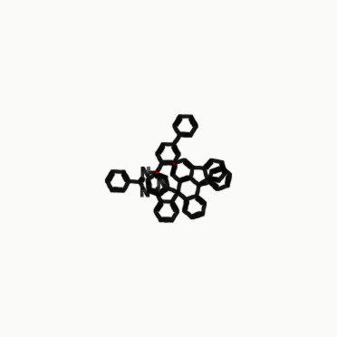 c1ccc(-c2ccc(-c3nc(-c4ccccc4)nc(-c4ccccc4C4(c5ccccc5)c5ccccc5C5(c6ccccc6)c6ccccc6-c6cccc4c65)n3)cc2)cc1